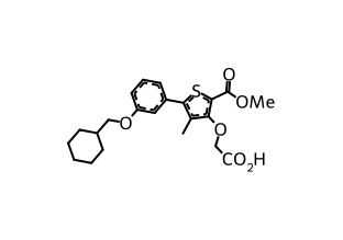 COC(=O)c1sc(-c2cccc(OCC3CCCCC3)c2)c(C)c1OCC(=O)O